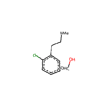 CNCCc1ccccc1Cl.O=CO